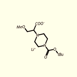 COCC(C(=O)[O-])N1CCN(C(=O)OC(C)(C)C)CC1.[Li+]